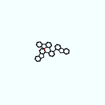 c1ccc2c(c1)Cc1c-2cccc1-c1cccc(-c2cccc3c2Cc2ccccc2-3)c1-c1cccc2c1Cc1ccccc1-2